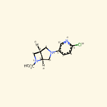 O=C(O)N1C[C@@H]2CN(c3ccc(Cl)nc3)C[C@@H]21